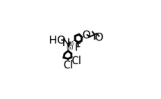 CC1(COc2ccc([C@@H]3[C@H](c4ccc(Cl)c(Cl)c4)N3O)c(F)c2)COC1